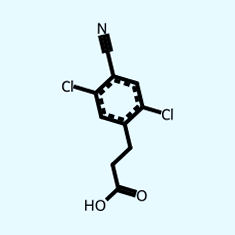 N#Cc1cc(Cl)c(CCC(=O)O)cc1Cl